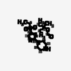 CC(C)(C)OC=O.CCS(=O)(=O)c1cnc(N2CCNCC2)s1